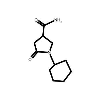 NC(=O)C1CC(=O)N(C2CCCCC2)C1